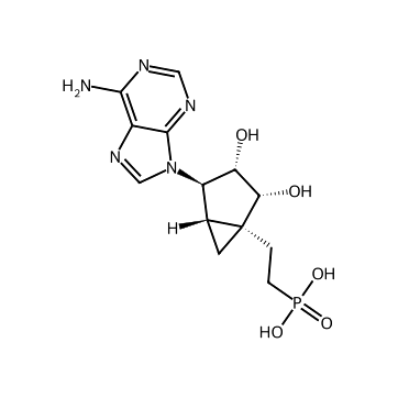 Nc1ncnc2c1ncn2[C@H]1[C@H](O)[C@H](O)[C@@]2(CCP(=O)(O)O)C[C@H]12